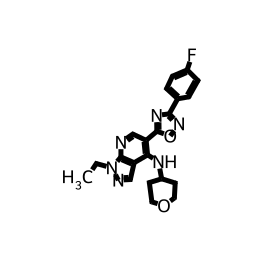 CCn1ncc2c(NC3CCOCC3)c(-c3nc(-c4ccc(F)cc4)no3)cnc21